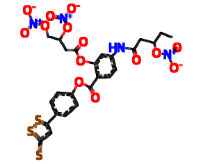 CCC(CC(=O)Nc1ccc(C(=O)Oc2ccc(-c3cc(=S)ss3)cc2)c(OC(=O)CC(CO[N+](=O)[O-])O[N+](=O)[O-])c1)O[N+](=O)[O-]